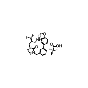 NCC(Cn1nnn(Cc2cccc(-c3ccc4c(c3)OCO4)c2)c1=O)=C(F)F.O=C(O)C(F)(F)F